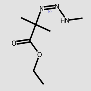 CCOC(=O)C(C)(C)/N=N\NC